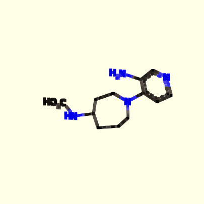 Nc1cnccc1N1CCCC(NC(=O)O)CC1